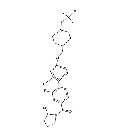 CCC1CCCN1C(=O)c1ccc(-c2ccc(OCC3CCN(CC(C)(C)F)CC3)cc2F)c(F)c1